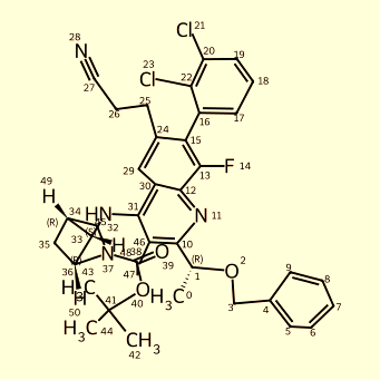 C[C@@H](OCc1ccccc1)c1nc2c(F)c(-c3cccc(Cl)c3Cl)c(CCC#N)cc2c(N[C@H]2[C@@H]3C[C@H]2N(C(=O)OC(C)(C)C)C3)c1I